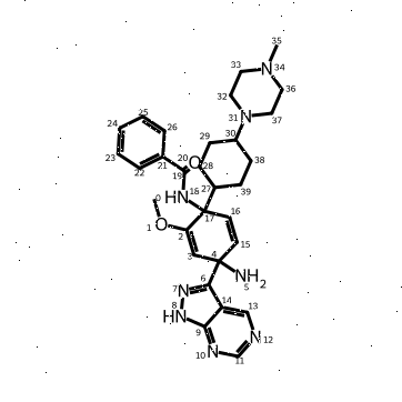 COC1=CC(N)(c2n[nH]c3ncncc23)C=CC1(NC(=O)c1ccccc1)C1CCC(N2CCN(C)CC2)CC1